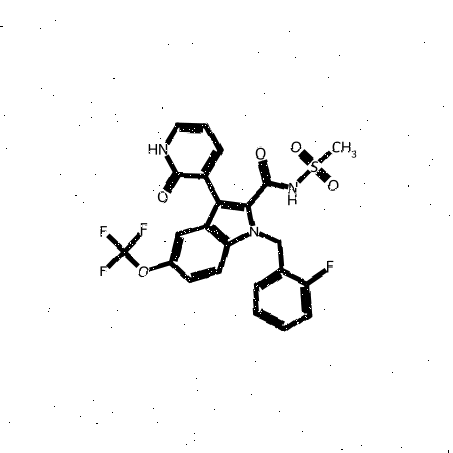 CS(=O)(=O)NC(=O)c1c(-c2ccc[nH]c2=O)c2cc(OC(F)(F)F)ccc2n1Cc1ccccc1F